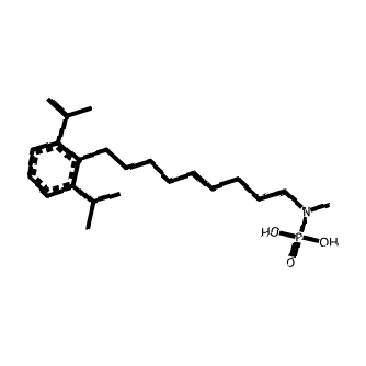 CC(C)c1cccc(C(C)C)c1CCCCCCCCCN(C)P(=O)(O)O